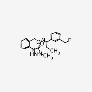 CCC(=NOCc1ccccc1-n1[nH]n(C)c1=O)c1cccc(CF)c1